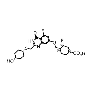 O=C(O)N1CC[C@@H](COc2cc(F)c3c(=O)[nH]c(CS[C@H]4CC[C@H](O)CC4)nc3c2)[C@H](F)C1